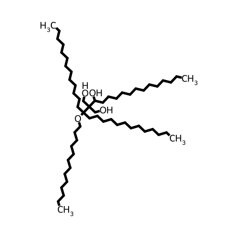 CCCCCCCCCCCCCOC(CCCCCCCCCCCCC)(CCCCCCCCCCCCC)C(CO)(CO)C(O)CCCCCCCCCCCCC